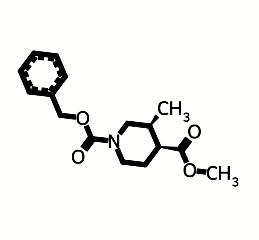 COC(=O)[C@H]1CCN(C(=O)OCc2ccccc2)C[C@H]1C